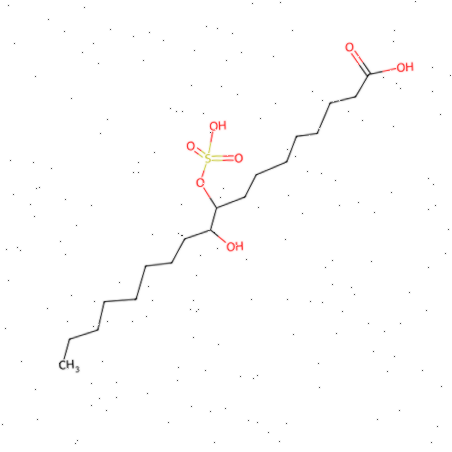 CCCCCCCCC(O)C(CCCCCCCC(=O)O)OS(=O)(=O)O